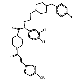 O=C(/C=C/c1ccc(C(F)(F)F)cc1)N1CCC(C(=O)N(CCCN2CCC(Cc3ccc(F)cc3)CC2)c2ccc(Cl)c(Cl)c2)CC1